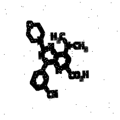 CN(C)c1cc(C(=O)O)nc2c(-c3cccc(C#N)c3)nc(N3CCOCC3)nc12